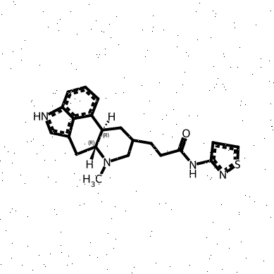 CN1CC(CCC(=O)Nc2ccsn2)C[C@@H]2c3cccc4[nH]cc(c34)C[C@H]21